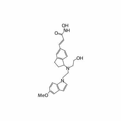 COc1ccc2c(ccn2CCN(CCO)C2CCc3cc(/C=C/C(=O)NO)ccc32)c1